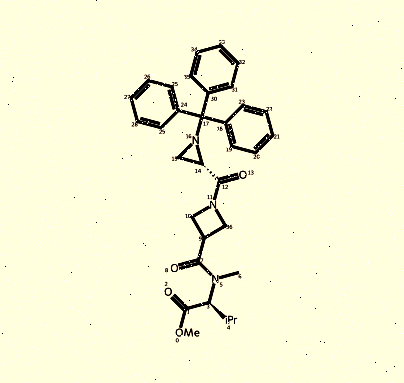 COC(=O)[C@H](C(C)C)N(C)C(=O)C1CN(C(=O)[C@@H]2CN2C(c2ccccc2)(c2ccccc2)c2ccccc2)C1